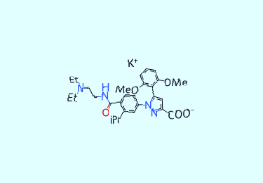 CCN(CC)CCNC(=O)c1ccc(-n2nc(C(=O)[O-])cc2-c2c(OC)cccc2OC)cc1C(C)C.[K+]